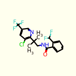 CC(C)(CNC(=O)c1ccccc1C(F)F)c1ncc(C(F)(F)F)cc1Cl